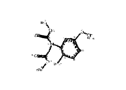 CC(C)(C)OC(=O)N(C(=O)OC(C)(C)C)c1cc(OC(F)(F)F)ccc1Br